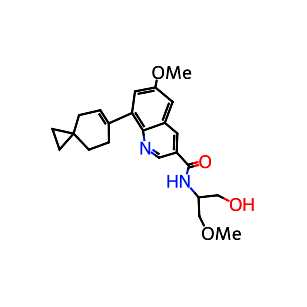 COCC(CO)NC(=O)c1cnc2c(C3=CCC4(CC3)CC4)cc(OC)cc2c1